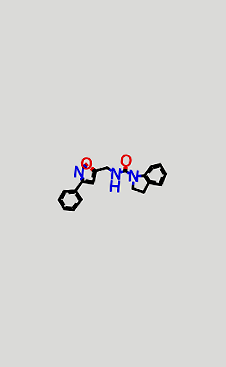 O=C(NCc1cc(-c2ccccc2)no1)N1CCc2ccccc21